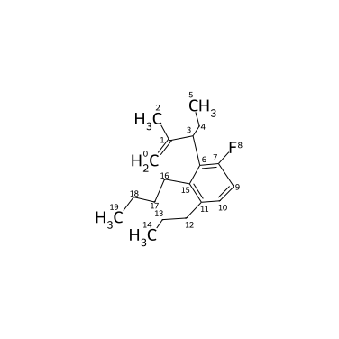 C=C(C)C(CC)c1c(F)ccc(CCC)c1CCCC